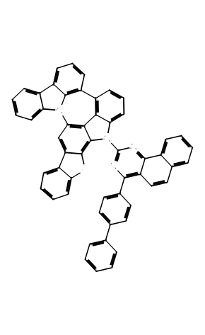 c1ccc(-c2ccc(-c3nc(-n4c5cccc6c7cccc8c9ccccc9n(c9cc%10c%11ccccc%11oc%10c4c9c65)c78)nc4c3ccc3ccccc34)cc2)cc1